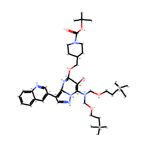 CC(C)(C)OC(=O)N1CCC(COc2nc3c(-c4cnc5ccccc5c4)cnn3c(N(COCC[Si](C)(C)C)COCC[Si](C)(C)C)c2Br)CC1